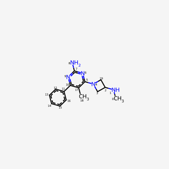 CNC1CN(c2nc(N)nc(-c3ccccc3)c2C)C1